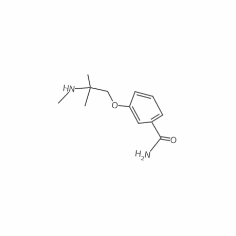 CNC(C)(C)COc1cccc(C(N)=O)c1